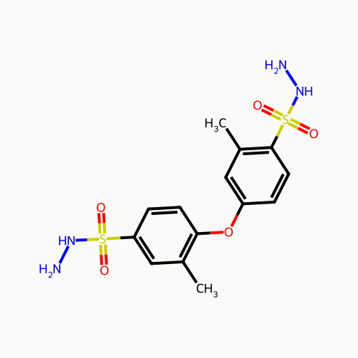 Cc1cc(S(=O)(=O)NN)ccc1Oc1ccc(S(=O)(=O)NN)c(C)c1